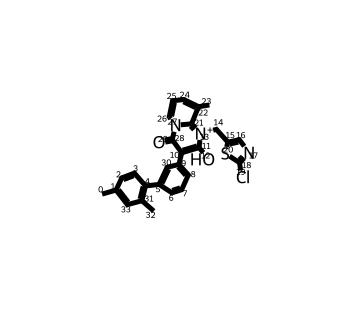 Cc1ccc(-c2cccc(-c3c(O)[n+](Cc4cnc(Cl)s4)c4c(C)cccn4c3=O)c2)c(C)c1